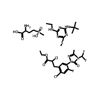 CCNc1nc(NC(C)(C)C)nc(SC)n1.CCOC(=O)C(Cl)Cc1cc(-n2nc(C)n(C(F)F)c2=O)c(F)cc1Cl.CP(=O)(O)CCC(N)C(=O)O